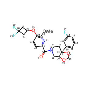 COc1nc(C(=O)N2CC[C@]3(c4cccc(F)c4)OCOC3C2)ccc1OC1CC(F)(F)C1